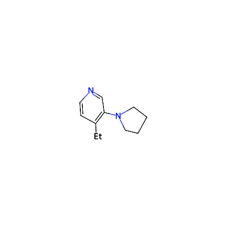 CCc1ccncc1N1CCCC1